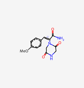 COc1ccc(/C=C(/C(N)=O)N2CC(=O)NCC2=O)cc1